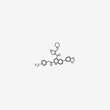 O=C(c1cc(NCc2ccc(C(F)(F)F)cc2)nc2ccc(-c3ccc4c(c3)OCO4)cc12)N1CC2CC2[C@H]1CN1CCCC1